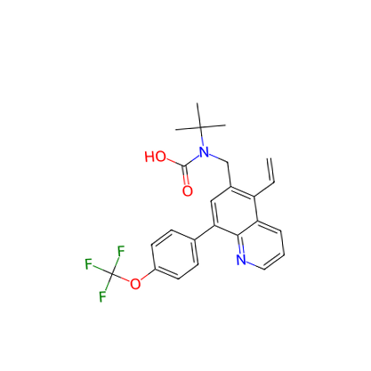 C=Cc1c(CN(C(=O)O)C(C)(C)C)cc(-c2ccc(OC(F)(F)F)cc2)c2ncccc12